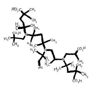 CC(=O)CC(C)(C)N(CC(C)N(CC(C)C(=O)O)C(C)(C)CC(C)(C)C(=O)O)C(C)(C)CC(C)(C)N(CC(C)(C)C(=O)O)C(C)(C)CC(C)(C)C(=O)O